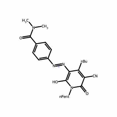 CCCCCn1c(O)c(/N=N/c2ccc(C(=O)N(C)C)cc2)c(CCCC)c(C#N)c1=O